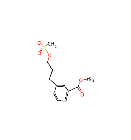 CC(C)(C)OC(=O)c1cccc(CCCOS(C)(=O)=O)c1